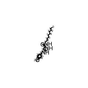 CCCCCCCCCCNC(=O)C1CC(NCc2ccc(OC)cc2)CN1